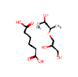 CC(O)C(C)OCC(O)CO.O=C(O)CCCCC(=O)O